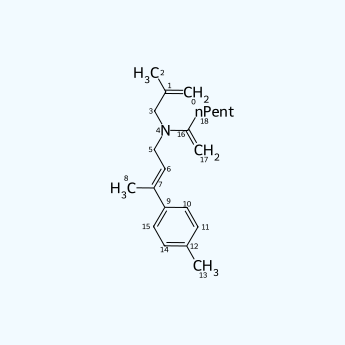 C=C(C)CN(C/C=C(\C)c1ccc(C)cc1)C(=C)CCCCC